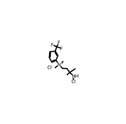 CC(C)(CC[N+](C)(C)c1cccc(C(F)(F)F)c1)NCl.[Cl-]